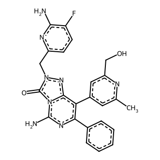 Cc1cc(-c2c(-c3ccccc3)nc(N)n3c(=O)n(Cc4ccc(F)c(N)n4)nc23)cc(CO)n1